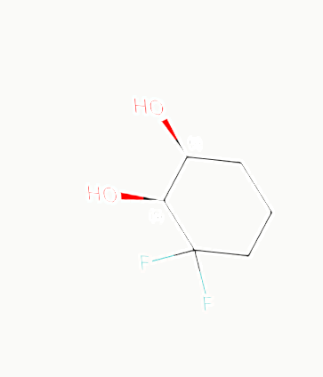 O[C@H]1CCCC(F)(F)[C@H]1O